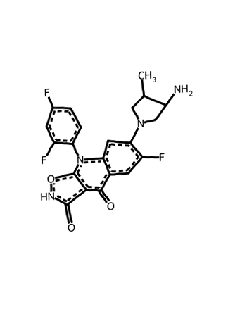 CC1CN(c2cc3c(cc2F)c(=O)c2c(=O)[nH]oc2n3-c2ccc(F)cc2F)CC1N